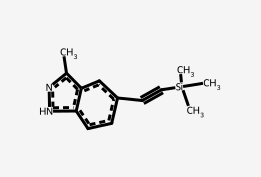 Cc1n[nH]c2ccc(C#C[Si](C)(C)C)cc12